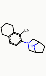 N#Cc1c(N2CC3CCC(C2)N3)ccc2c1CCCC2